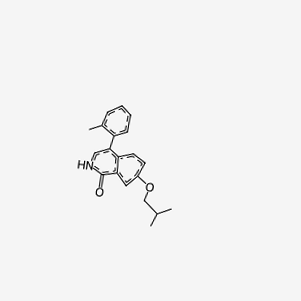 Cc1ccccc1-c1c[nH]c(=O)c2cc(OCC(C)C)ccc12